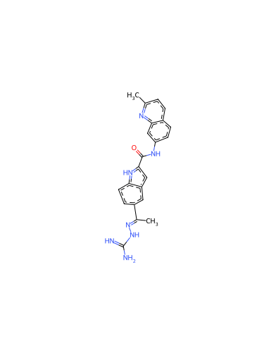 C/C(=N\NC(=N)N)c1ccc2[nH]c(C(=O)Nc3ccc4ccc(C)nc4c3)cc2c1